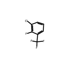 Fc1c(Cl)cccc1C(F)(F)F